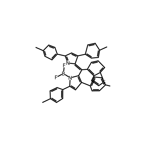 Cc1ccc(C2=CC(c3ccc(C)cc3)=N/C2=C(/c2cccc3sccc23)c2c(-c3ccc(C)cc3)cc(-c3ccc(C)cc3)n2B(F)F)cc1